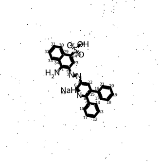 Nc1c(/N=N/c2cnc(-c3ccccc3)c(-c3ccccc3)c2)cc(S(=O)(=O)O)c2ccccc12.[NaH]